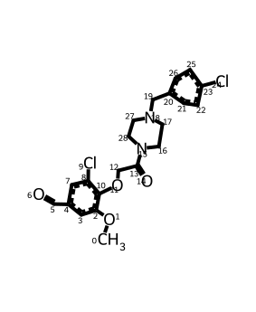 COc1cc(C=O)cc(Cl)c1OCC(=O)N1CCN(Cc2ccc(Cl)cc2)CC1